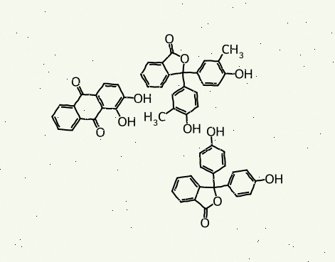 Cc1cc(C2(c3ccc(O)c(C)c3)OC(=O)c3ccccc32)ccc1O.O=C1OC(c2ccc(O)cc2)(c2ccc(O)cc2)c2ccccc21.O=C1c2ccccc2C(=O)c2c1ccc(O)c2O